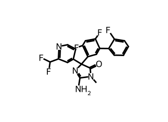 CN1C(=O)C(c2ccnc(C(F)F)c2)(c2cc(-c3ccccc3F)c(F)cc2F)N=C1N